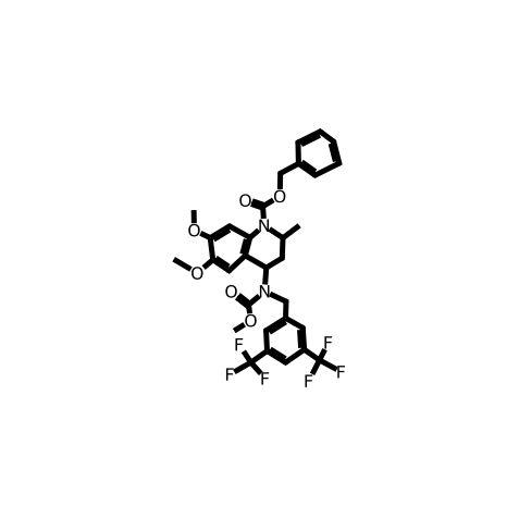 COC(=O)N(Cc1cc(C(F)(F)F)cc(C(F)(F)F)c1)C1CC(C)N(C(=O)OCc2ccccc2)c2cc(OC)c(OC)cc21